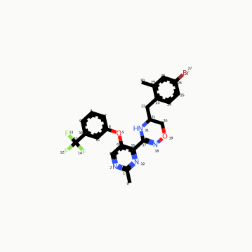 Cc1ncc(Oc2cccc(C(F)(F)F)c2)c(C2=NOCC(Cc3ccc(Br)cc3C)N2)n1